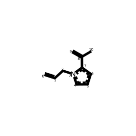 C=CCn1cccc1C(=C)C